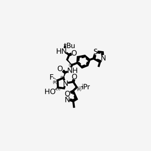 Cc1cc([C@H](C(=O)N2C[C@H](O)[C@H](F)[C@H]2C(=O)N[C@@H](CC(=O)NC(C)(C)C)c2ccc(-c3scnc3C)cc2)C(C)C)on1